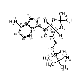 CC1(C)O[C@@H]2[C@H](O1)[C@@H](CO[Si](C)(C)C(C)(C)C)O[C@H]2c1csc2c(N)ncnc12